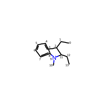 CCC1c2ccccc2N(C)C1CC